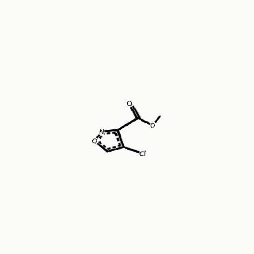 COC(=O)c1nocc1Cl